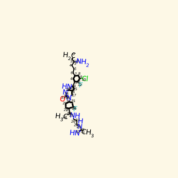 C=C[C@@H](N)CCCc1cc(Cl)c(F)c(-c2cc3cn(-c4ccc([C@H](C)NCCCNC(C)=N)c(F)c4)c(=O)nc3[nH]2)c1